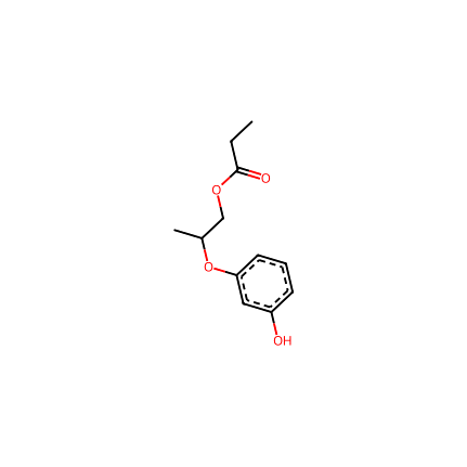 CCC(=O)OCC(C)Oc1cccc(O)c1